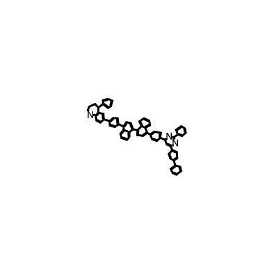 C1=Nc2ccc(-c3ccc(-c4ccc(-c5ccc(-c6ccc(-c7cc(-c8ccc(-c9ccccc9)cc8)nc(-c8ccccc8)n7)cc6)c6ccccc56)c5ccccc45)cc3)cc2C(c2ccccc2)CC1